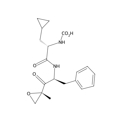 C[C@@]1(C(=O)[C@H](Cc2ccccc2)NC(=O)[C@H](CC2CC2)NC(=O)O)CO1